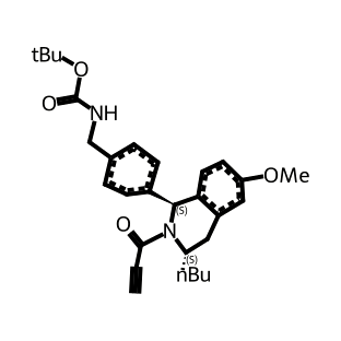 C#CC(=O)N1[C@@H](CCCC)Cc2cc(OC)ccc2[C@@H]1c1ccc(CNC(=O)OC(C)(C)C)cc1